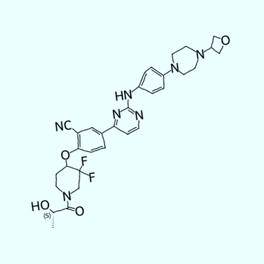 C[C@H](O)C(=O)N1CCC(Oc2ccc(-c3ccnc(Nc4ccc(N5CCN(C6COC6)CC5)cc4)n3)cc2C#N)C(F)(F)C1